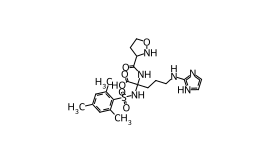 Cc1cc(C)c(S(=O)(=O)NC(CCCNc2ncc[nH]2)(NC(=O)C2CCON2)C(=O)O)c(C)c1